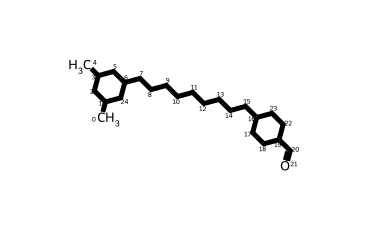 CC1CC(C)CC(CCCCCCCCCC2CCC(C=O)CC2)C1